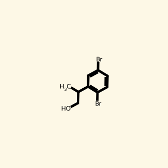 C[C](CO)c1cc(Br)ccc1Br